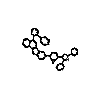 C1=CC2C(c3ccccc3-c3ccccc3)=CC3=C(Cc4ccc(C5=CC=C(C6CC(c7ccccc7)N=C6c6ccccc6)C6CC56)cc43)C2C=C1